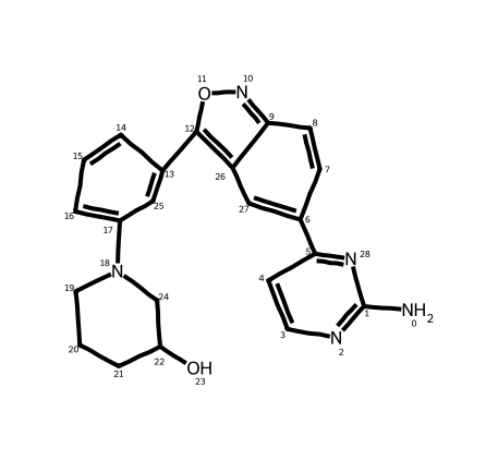 Nc1nccc(-c2ccc3noc(-c4cccc(N5CCCC(O)C5)c4)c3c2)n1